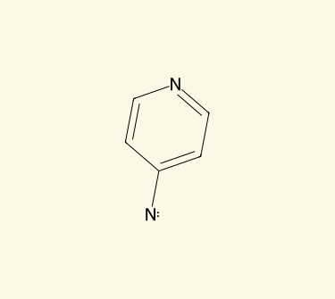 [N]c1ccncc1